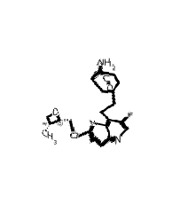 C[C@@H]1CO[C@@H]1COc1ccc2ncc(F)c(CCC34CCC(N)(CC3)CO4)c2n1